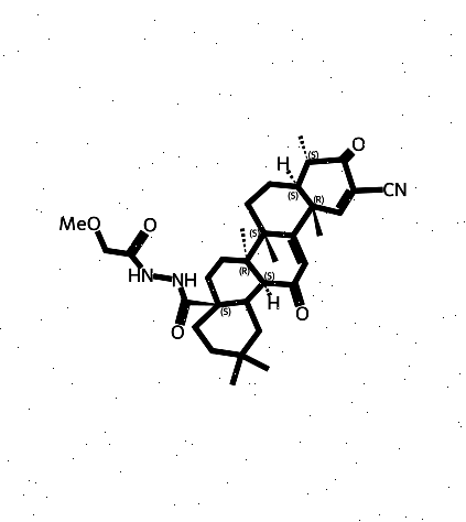 COCC(=O)NNC(=O)[C@]12CCC(C)(C)CC1[C@@H]1C(=O)C=C3[C@@]4(C)C=C(C#N)C(=O)[C@@H](C)[C@@H]4CC[C@@]3(C)[C@]1(C)CC2